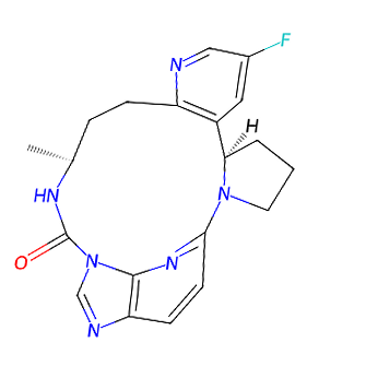 C[C@@H]1CCc2ncc(F)cc2[C@H]2CCCN2c2ccc3ncn(c3n2)C(=O)N1